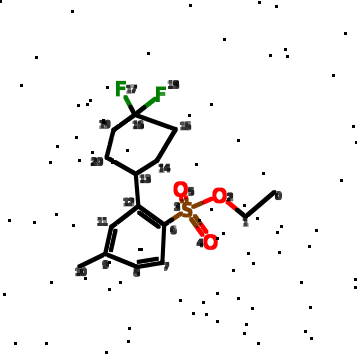 CCOS(=O)(=O)c1ccc(C)cc1C1CCC(F)(F)CC1